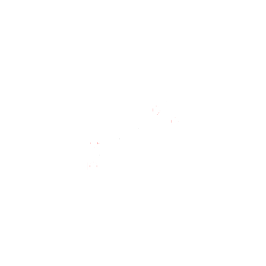 O=C(O)CCCCCC1OCCO1